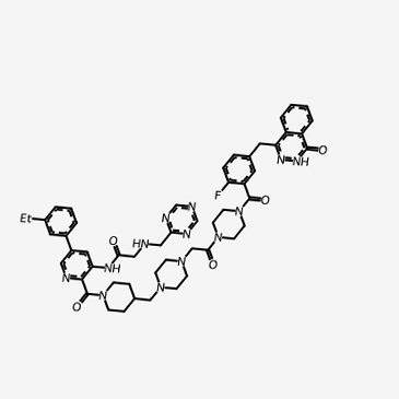 CCc1cccc(-c2cnc(C(=O)N3CCC(CN4CCN(CC(=O)N5CCN(C(=O)c6cc(Cc7n[nH]c(=O)c8ccccc78)ccc6F)CC5)CC4)CC3)c(NC(=O)CNCc3ncncn3)c2)c1